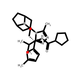 Cc1ccc([C@H](CCN2C3CCC2CC(n2c(C)nnc2C(C)C)C3)NC(=O)C2CCCC2)s1